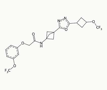 O=C(COc1cccc(OC(F)(F)F)c1)NC12CC(c3nnc(C4CC(OC(F)(F)F)C4)o3)(C1)C2